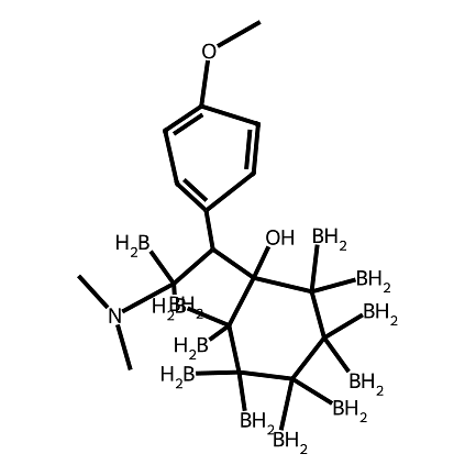 BC(B)(C(c1ccc(OC)cc1)C1(O)C(B)(B)C(B)(B)C(B)(B)C(B)(B)C1(B)B)N(C)C